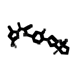 Cc1cc(C(F)(F)F)nn1[C@@H](C)C(=O)Nc1cnc(-n2cnc([C@]3(C)CCCS3(=O)=O)c2)c(F)c1